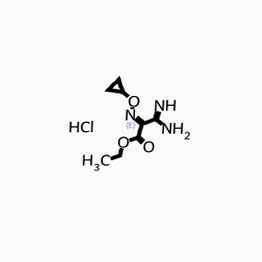 CCOC(=O)/C(=N/OC1CC1)C(=N)N.Cl